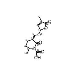 CC1=CC(OC=C2CCC(C)N(C(=O)O)C2=O)OC1=O